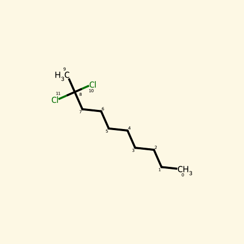 CCCCCCCCC(C)(Cl)Cl